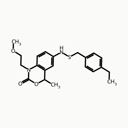 CCc1ccc(CSNc2ccc3c(c2)C(C)OC(=O)N3CCOC)cc1